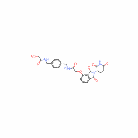 O=C(CO)NCc1ccc(CNC(=O)COc2cccc3c2C(=O)N(C2CCC(=O)NC2=O)C3=O)cc1